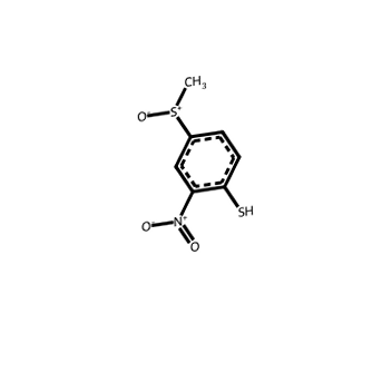 C[S+]([O-])c1ccc(S)c([N+](=O)[O-])c1